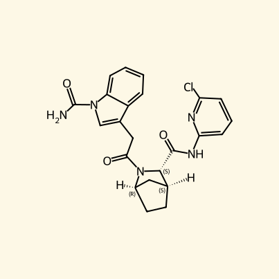 NC(=O)n1cc(CC(=O)N2[C@@H]3CC[C@@H](C3)[C@H]2C(=O)Nc2cccc(Cl)n2)c2ccccc21